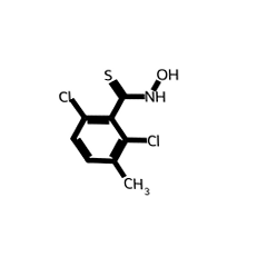 Cc1ccc(Cl)c(C(=S)NO)c1Cl